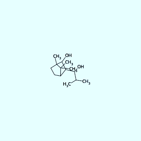 CC(C)C(O)C1C2CCC(C)(C1O)C2(C)C